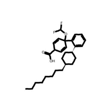 CCCCCCCC[C@H]1CC[C@H](c2ccccc2C2(OC(F)F)C=CC(C(=O)O)C=C2)CC1